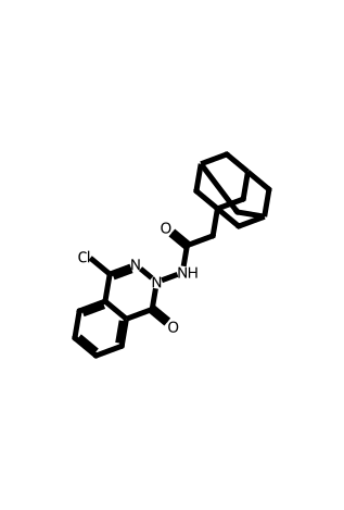 O=C(CC12CC3CC(CC(C3)C1)C2)Nn1nc(Cl)c2ccccc2c1=O